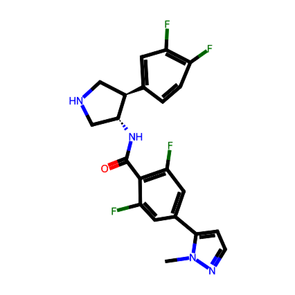 Cn1nccc1-c1cc(F)c(C(=O)N[C@@H]2CNC[C@H]2c2ccc(F)c(F)c2)c(F)c1